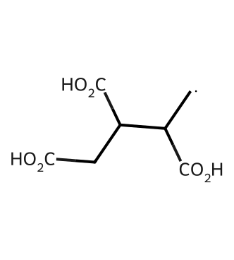 [CH2]C(C(=O)O)C(CC(=O)O)C(=O)O